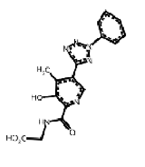 Cc1c(-c2nnn(-c3ccccc3)n2)cnc(C(=O)NCC(=O)O)c1O